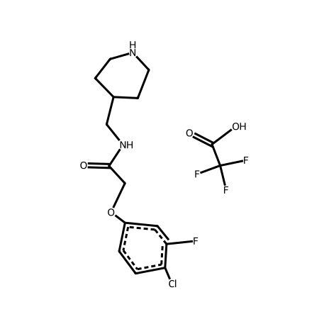 O=C(COc1ccc(Cl)c(F)c1)NCC1CCNCC1.O=C(O)C(F)(F)F